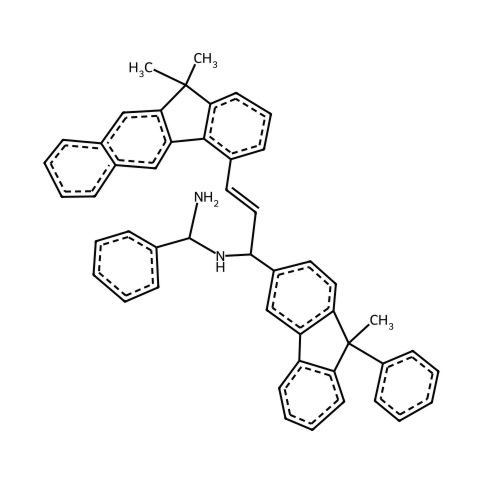 CC1(C)c2cc3ccccc3cc2-c2c(/C=C/C(NC(N)c3ccccc3)c3ccc4c(c3)-c3ccccc3C4(C)c3ccccc3)cccc21